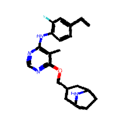 CCc1ccc(Nc2ncnc(OCC3CC4CCC(C3)N4)c2C)c(F)c1